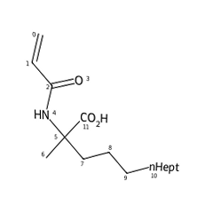 C=CC(=O)NC(C)(CCCCCCCCCC)C(=O)O